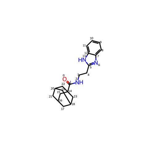 O=C(NCCc1nc2ccccc2[nH]1)C12CC3CC(CC(C3)C1)C2